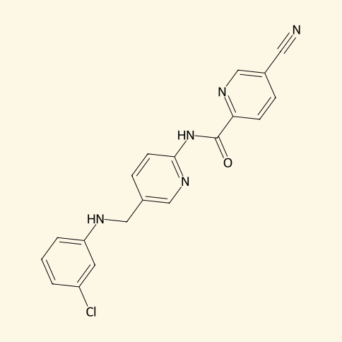 N#Cc1ccc(C(=O)Nc2ccc(CNc3cccc(Cl)c3)cn2)nc1